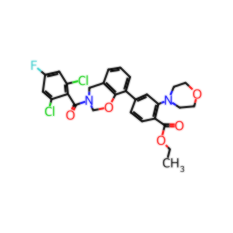 CCOC(=O)c1ccc(-c2cccc3c2OCN(C(=O)c2c(Cl)cc(F)cc2Cl)C3)cc1N1CCOCC1